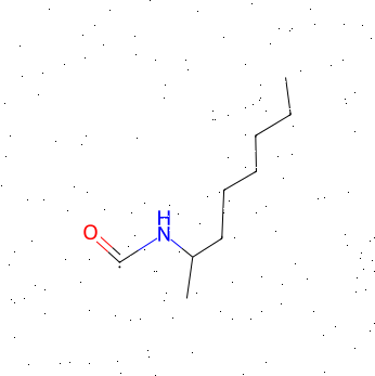 CCCCCCC(C)N[C]=O